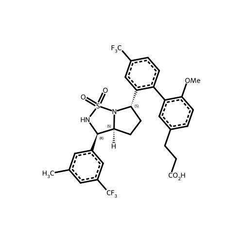 COc1ccc(CCC(=O)O)cc1-c1ccc(C(F)(F)F)cc1[C@@H]1CC[C@H]2[C@@H](c3cc(C)cc(C(F)(F)F)c3)NS(=O)(=O)N12